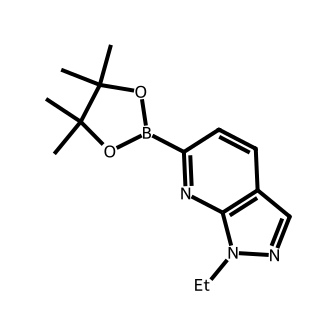 CCn1ncc2ccc(B3OC(C)(C)C(C)(C)O3)nc21